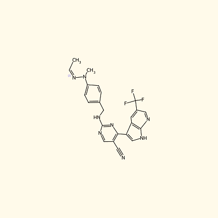 C/C=N\N(C)c1ccc(CNc2ncc(C#N)c(-c3c[nH]c4ncc(C(F)(F)F)cc34)n2)cc1